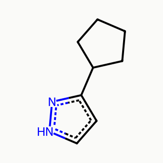 c1cc(C2CCCC2)n[nH]1